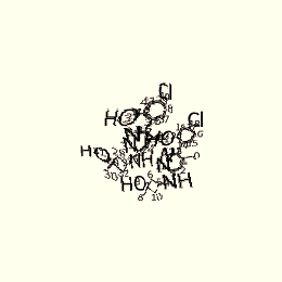 Cc1cc(NC2CC(C)(O)C2)nnc1-c1ccc(Cl)cc1O.Cc1cc(NC2CC(C)(O)C2)nnc1-c1ccc(Cl)cc1O